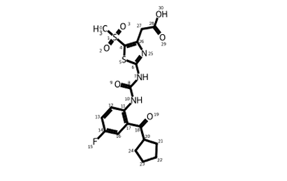 CS(=O)(=O)c1sc(NC(=O)Nc2ccc(F)cc2C(=O)C2CCCC2)nc1CC(=O)O